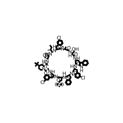 CC[C@H](C)C1NC(=O)[C@H](CO)NC(=O)C[C@@H](C(=O)N2CCC(C(C)(C)C)CC2)NC(=O)C(Cc2cccc(Cl)c2)NC(=O)C(CCS(C)(=O)=O)NC(=O)C(Cc2ccccc2)N(C)C(=O)C(Cc2cccc(Cl)c2)NC(=O)C(Cc2c[nH]c3ccccc23)NC(=O)C([C@@H](C)O)NC(=O)C(C)N(C)C(=O)C(Cc2cccc(Cl)c2)N1